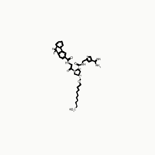 N=C(N)c1csc(CNC(=O)[C@@H]2C[C@H](COCCCCCCCCCC(=O)O)CN2C(=O)CNC(=O)c2ccc3c(c2)-c2ccccc2C3(F)F)c1